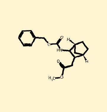 COC(=O)CC1C(NC(=O)OCc2ccccc2)[C@@H]2CC[C@H]1C2